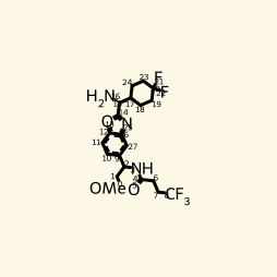 COCC(NC(=O)CCC(F)(F)F)c1ccc2oc([C@@H](N)C3CCC(F)(F)CC3)nc2c1